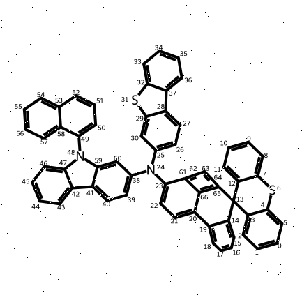 c1ccc2c(c1)Sc1ccccc1C21c2ccccc2-c2ccc(N(c3ccc4c(c3)sc3ccccc34)c3ccc4c5ccccc5n(-c5cccc6ccccc56)c4c3)c3cccc1c23